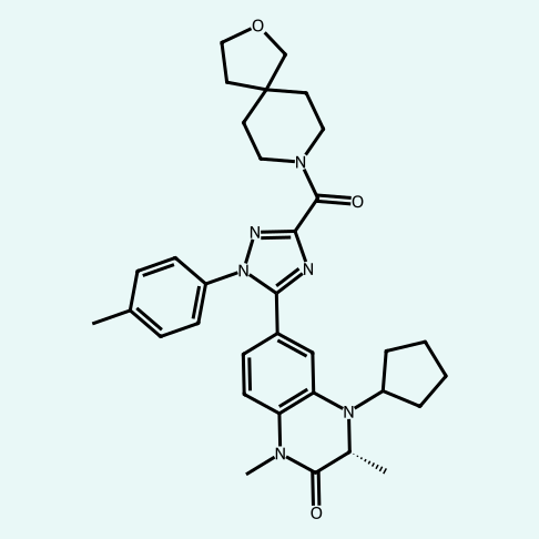 Cc1ccc(-n2nc(C(=O)N3CCC4(CCOC4)CC3)nc2-c2ccc3c(c2)N(C2CCCC2)[C@H](C)C(=O)N3C)cc1